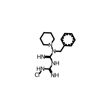 N=C(NCl)NC(=N)N(Cc1ccccc1)N1CCCCC1